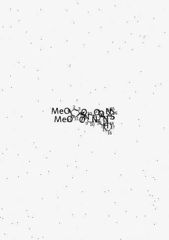 COc1ccc(S(=O)(=O)N2CCN(C(CC3CCCCC3)C(=O)Nc3nccs3)C(=O)C2)cc1OC